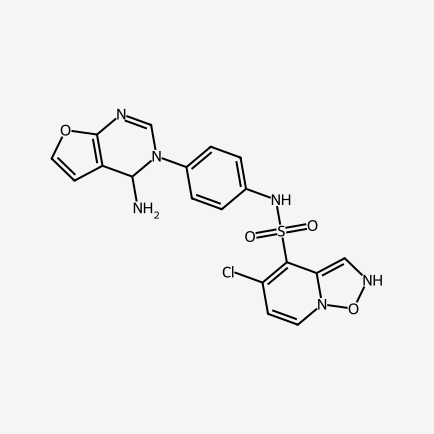 NC1c2ccoc2N=CN1c1ccc(NS(=O)(=O)C2=C(Cl)C=CN3ONC=C23)cc1